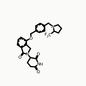 O=C1CCC(N2Cc3c(OCc4ccc(CN5CCCC5C(F)(F)F)cc4)cccc3C2=O)C(=O)N1